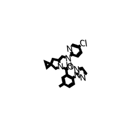 Cc1ccc(-n2nccn2)c(C(=O)N2CC3(CC3)CC2CNc2ccc(Cl)cn2)c1